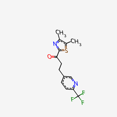 Cc1nc(C(=O)CCc2ccc(C(F)(F)F)nc2)sc1C